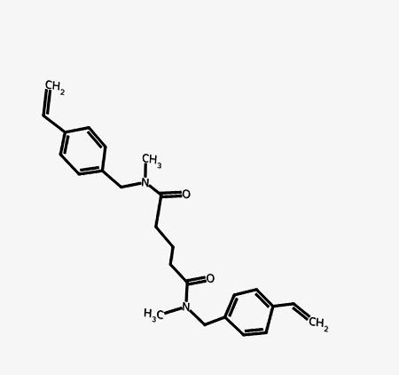 C=Cc1ccc(CN(C)C(=O)CCCC(=O)N(C)Cc2ccc(C=C)cc2)cc1